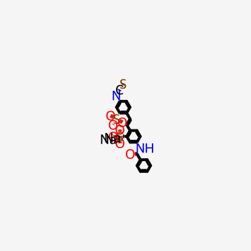 O=C(Nc1ccc(C=Cc2ccc(N=C=S)cc2S(=O)(=O)[O-])c(S(=O)(=O)[O-])c1)c1ccccc1.[Na+].[Na+]